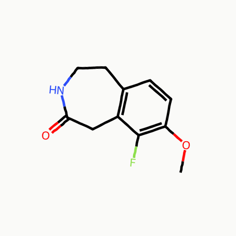 COc1ccc2c(c1F)CC(=O)NCC2